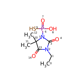 CCN1C(=O)N(P(=O)(O)S)C(C)(C)C1=O